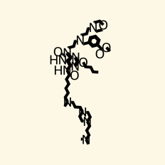 CCCCOc1nc(NC(=O)CCCCCN(C)CCCN2CCN(CCCN(C)C)CC2)c2[nH]c(=O)n(CCCN(CCCN3CCOCC3)Cc3cccc(C(=O)OC)c3)c2n1